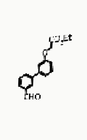 CCOC(=O)COc1cccc(-c2cccc(C=O)c2)c1